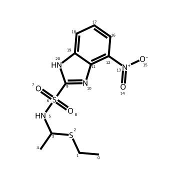 CCSC(C)NS(=O)(=O)c1nc2c([N+](=O)[O-])cccc2[nH]1